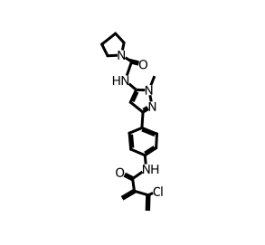 C=C(Cl)C(=C)C(=O)Nc1ccc(-c2cc(NC(=O)N3CCCC3)n(C)n2)cc1